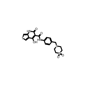 O=C(Nc1ccc(CN2CCS(=O)(=O)CC2)cc1)c1c(O)c2cscc2[nH]c1=O